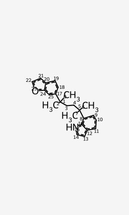 CC(C)(CCC(C)(C)c1cccc2cc[nH]c12)c1ccc2ccoc2c1